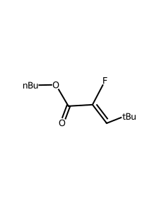 CCCCOC(=O)C(F)=CC(C)(C)C